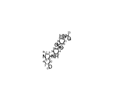 COc1ccc2nc(C)cc(Nc3ccc(S(=O)(=O)c4ccc(NC(C)=O)cc4)cc3)c2c1